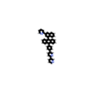 c1ccc(-c2cc(-c3c4ccccc4c(-c4ccc(-c5ccc(-c6cccnc6)nc5)cc4)c4ccccc34)c3ccccc3c2)nc1